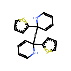 C1=CN[C]([Ir][C]2(c3cccs3)C=CC=CN2)(c2cccs2)C=C1